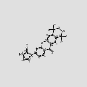 C=C(c1ccc(-n2nn[nH]c2=O)cc1)c1cc2c(cc1C)C(C)(C)CCC2(C)C